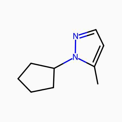 Cc1ccnn1C1CCCC1